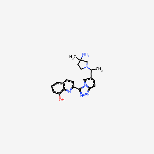 CC(c1ccc2nnc(-c3ccc4cccc(O)c4n3)n2c1)N1CCC(C)(N)C1